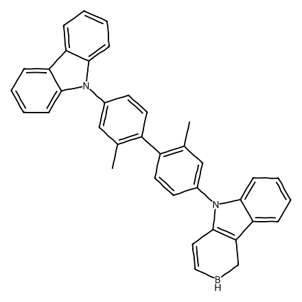 Cc1cc(-n2c3c(c4ccccc42)CBC=C3)ccc1-c1ccc(-n2c3ccccc3c3ccccc32)cc1C